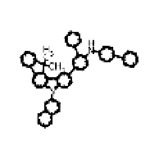 CC1(C)c2ccccc2-c2ccc3c(c21)c1cc(-c2ccc(Nc4ccc(-c5ccccc5)cc4)c(-c4ccccc4)c2)ccc1n3-c1ccc2ccccc2c1